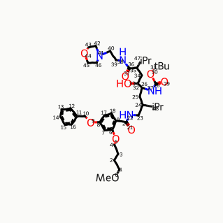 COCCCCOc1cc(OCc2ccccc2)ccc1C(=O)NCC(CC(NC(=O)OC(C)(C)C)C(O)CC(C(=O)NCCN1CCOCC1)C(C)C)C(C)C